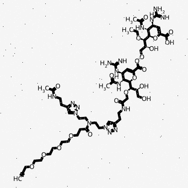 C#CCOCCOCCOCCOCCC(=O)N(CCn1cc(CCNC(C)=O)nn1)CCn1cc(CCNC(=O)CO[C@@H]([C@@H]2OC(C(=O)OOC[C@@H](O)[C@@H](OCC)[C@@H]3OC(C(=O)O)=C[C@H](NC(=N)N)[C@H]3NC(C)=O)=C[C@H](NC(=N)N)[C@H]2NC(C)=O)[C@H](O)CO)nn1